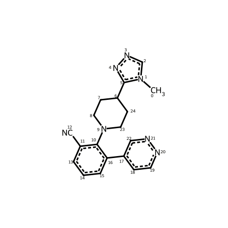 Cn1cnnc1C1CCN(c2c(C#N)cccc2-c2ccnnc2)CC1